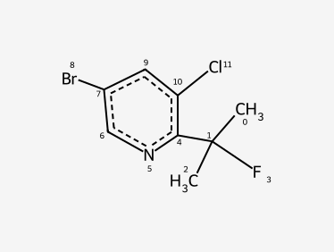 CC(C)(F)c1ncc(Br)cc1Cl